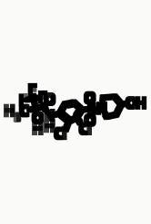 CC(O)(C(=O)Nc1ccc(S(=O)(=O)N2CCC(O)CC2)c(Cl)c1Cl)C(F)(F)F